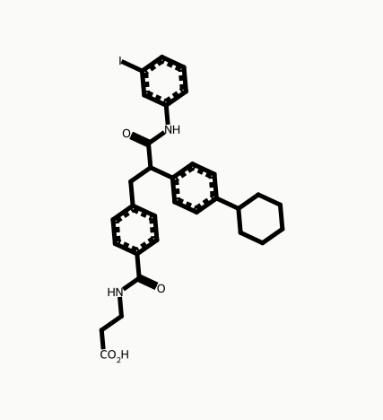 O=C(O)CCNC(=O)c1ccc(CC(C(=O)Nc2cccc(I)c2)c2ccc(C3CCCCC3)cc2)cc1